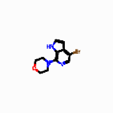 Brc1cnc(N2CCOCC2)c2[nH]ccc12